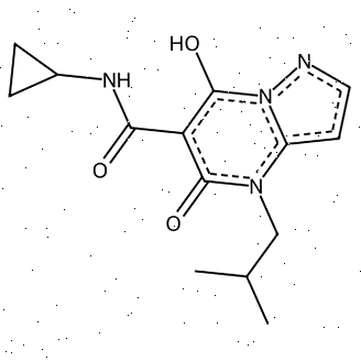 CC(C)Cn1c(=O)c(C(=O)NC2CC2)c(O)n2nccc12